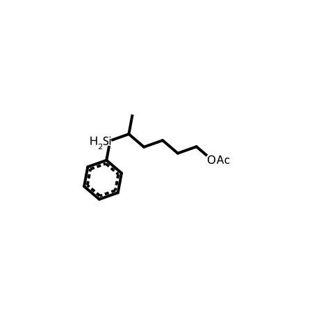 CC(=O)OCCCCC(C)[SiH2]c1ccccc1